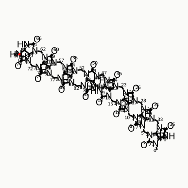 CN1C(=O)N2CN3C(=O)N4CN5C(=O)N6CN7C(=O)N[C@H]8[C@@H]7N(CN7C(=O)N(CN9C(=O)N(CN%10C(=O)N[C@H]1[C@@H]%102)[C@H]3[C@@H]94)[C@H]5[C@H]67)C(=O)N8CN1C(=O)N2CN3C(=O)N4CN5C(=O)N6CN7C(=O)N[C@@H]8NC(=O)N(CN9C(=O)N(CN%10C(=O)N(CN%11C(=O)N[C@H]1[C@@H]%112)[C@H]3[C@@H]%104)[C@H]5[C@@H]96)[C@@H]87